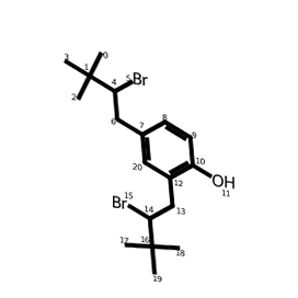 CC(C)(C)C(Br)Cc1ccc(O)c(CC(Br)C(C)(C)C)c1